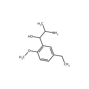 CCc1ccc(OC)c(C(O)C(C)N)c1